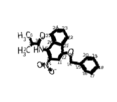 CC(C)C(=O)Nc1c([N+](=O)[O-])cc(OCc2ccccc2)c2ccccc12